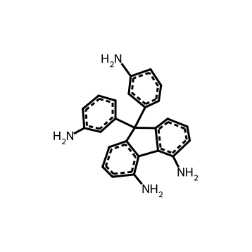 Nc1cccc(C2(c3cccc(N)c3)c3cccc(N)c3-c3c(N)cccc32)c1